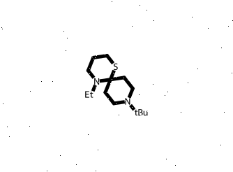 CCN1CCCSC12CCN(C(C)(C)C)CC2